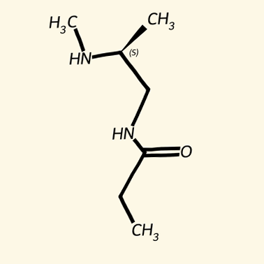 CCC(=O)NC[C@H](C)NC